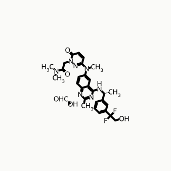 Cc1nc(N[C@H](C)c2cccc(C(F)(F)CO)c2)c2cc(N(C)c3ccc(=O)n(CC(=O)N(C)C)n3)ccc2n1.O=CO